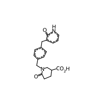 O=C(O)C1CCC(=O)N(Cc2ccc(Cc3ccc[nH]c3=O)cc2)C1